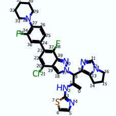 C=C(Nc1nccs1)C(c1ncn2c1CCC2)n1cc2c(Cl)cc(-c3ccc(N4CCCCC4)c(F)c3)c(F)c2n1